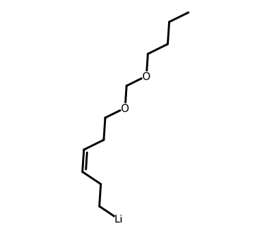 [Li][CH2]C/C=C\CCOCOCCCC